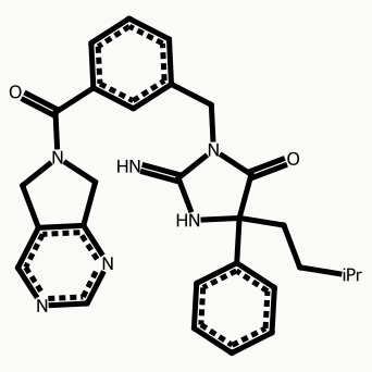 CC(C)CCC1(c2ccccc2)NC(=N)N(Cc2cccc(C(=O)N3Cc4cncnc4C3)c2)C1=O